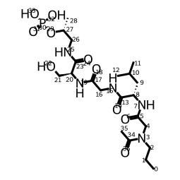 CCCN(CC(=O)N[C@@H](CC(C)C)C(=O)NCC(=O)N[C@@H](CO)C(=O)NC[C@@H](C)OP(=O)(O)O)C(C)=O